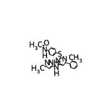 CC(=O)Nc1ccc(Sc2nc(Nc3cc(C)n[nH]3)cc(-c3ccccc3C)n2)cc1